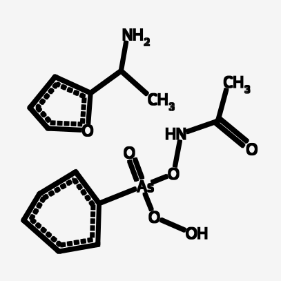 CC(=O)NO[As](=O)(OO)c1ccccc1.CC(N)c1ccco1